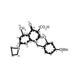 COc1ccc(Cn2cc(C(=O)O)c(=O)c3c(C)cc(N4CCC4)nc32)c(OC)c1